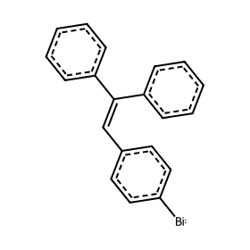 [Bi][c]1ccc(C=C(c2ccccc2)c2ccccc2)cc1